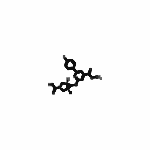 COC(=O)c1cc(OC2[C@H]3CN(C(=O)O)C[C@@H]23)nc(-c2ccc(F)cc2)c1